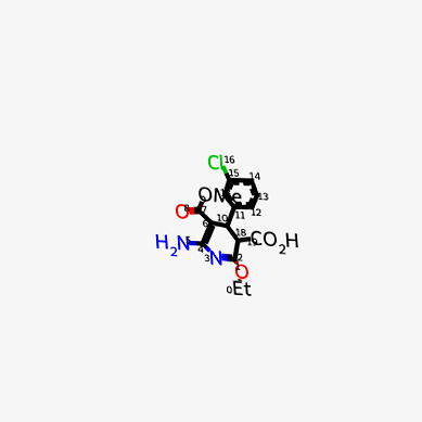 CCOC1=NC(N)=C(C(=O)OC)C(c2cccc(Cl)c2)C1C(=O)O